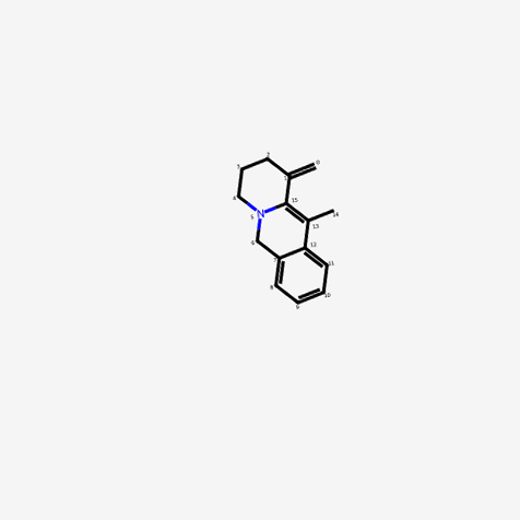 C=C1CCCN2Cc3ccccc3C(C)=C12